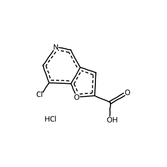 Cl.O=C(O)c1cc2cncc(Cl)c2o1